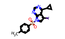 Cc1ccc(S(=O)(=O)n2cc(I)c3c(C4CC4)ncnc32)cc1